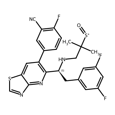 CC(C)(CN[C@@H](Cc1cc(F)cc(F)c1)c1nc2ncsc2cc1-c1ccc(F)c(C#N)c1)[S+]=O